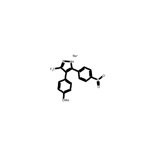 COc1ccc(-c2c(C(F)(F)F)n[nH]c2-c2ccc(S(=O)[O-])cc2)cc1.[Na+]